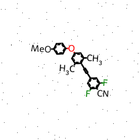 COc1ccc(Oc2cc(C)c(C#Cc3cc(F)c(C#N)c(F)c3)c(C)c2)cc1